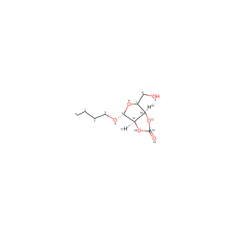 CCCCO[C@@H]1OC(CO)[C@H]2OC(=O)O[C@@H]12